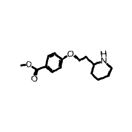 COC(=O)c1ccc(OCCC2CCCCN2)cc1